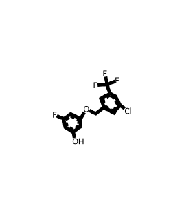 Oc1cc(F)cc(OCc2cc(Cl)cc(C(F)(F)F)c2)c1